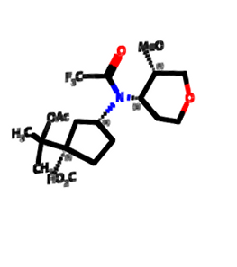 CO[C@@H]1COCC[C@@H]1N(C(=O)C(F)(F)F)[C@@H]1CC[C@@](C(=O)O)(C(C)(C)OC(C)=O)C1